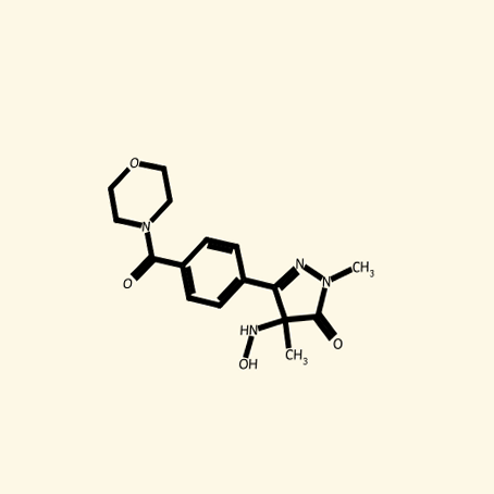 CN1N=C(c2ccc(C(=O)N3CCOCC3)cc2)C(C)(NO)C1=O